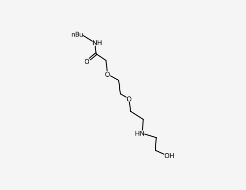 CCCCNC(=O)COCCOCCNCCO